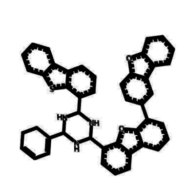 C1=CCCC(C2NC(c3cccc4c3oc3c(-c5ccc6oc7ccccc7c6c5)cccc34)NC(c3cccc4c3sc3ccccc34)N2)=C1